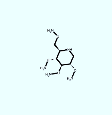 NOC[C@H]1NC[C@H](ON)[C@@H](ON)[C@@H]1ON